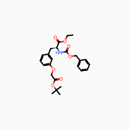 CCOC(=O)[C@H](Cc1cccc(OCC(=O)OC(C)(C)C)c1)NC(=O)OCc1ccccc1